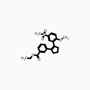 CCOC(=O)c1cccc(C2=C(c3cc(S(C)(=O)=O)ccc3OC)CCC2)c1